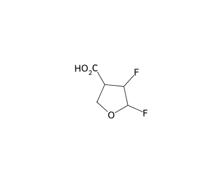 O=C(O)C1COC(F)C1F